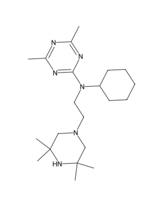 Cc1nc(C)nc(N(CCN2CC(C)(C)NC(C)(C)C2)C2CCCCC2)n1